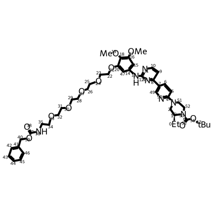 CC[C@H]1CN(c2ccc(-c3ccnc(Nc4cc(OC)c(OC)c(OCCOCCOCCOCCOCCNC(=O)OCc5ccccc5)c4)n3)cn2)CCN1C(=O)OC(C)(C)C